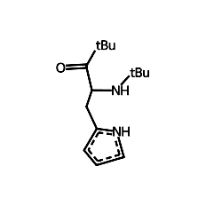 CC(C)(C)NC(Cc1ccc[nH]1)C(=O)C(C)(C)C